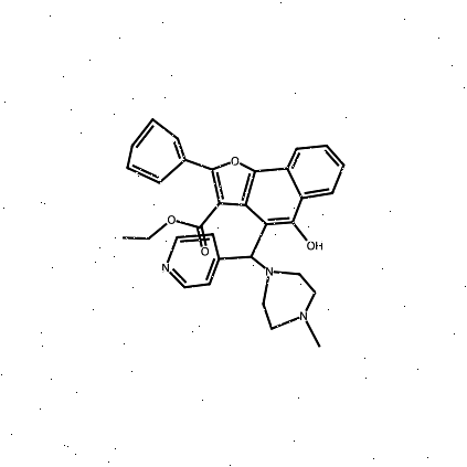 CCOC(=O)c1c(-c2ccccc2)oc2c1c(C(c1ccncc1)N1CCN(C)CC1)c(O)c1ccccc12